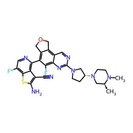 C[C@H]1CN([C@@H]2CCN(c3ncc4c5c(c(-c6ncc(F)c7sc(N)c(C#N)c67)c(F)c4n3)COC5)C2)CCN1C